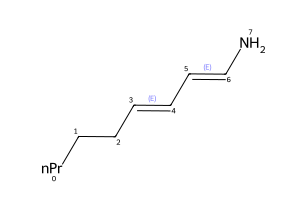 CCCCC/C=C/C=C/N